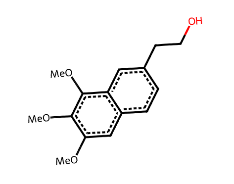 COc1cc2ccc(CCO)cc2c(OC)c1OC